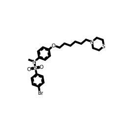 CN(c1ccc(OCCCCCCN2CCSCC2)cc1)S(=O)(=O)c1ccc(Br)cc1